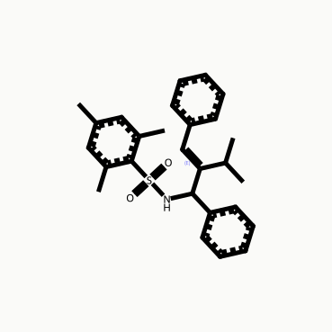 Cc1cc(C)c(S(=O)(=O)NC(/C(=C/c2ccccc2)C(C)C)c2ccccc2)c(C)c1